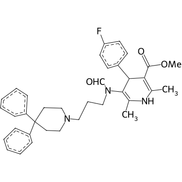 COC(=O)C1=C(C)NC(C)=C(N(C=O)CCCN2CCC(c3ccccc3)(c3ccccc3)CC2)C1c1ccc(F)cc1